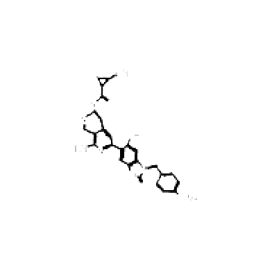 COc1ccc(Cn2c(=O)oc3cc(-c4cc5cc(NC(=O)C6CC6C#N)ncc5c(N)n4)c(C)cc32)cc1